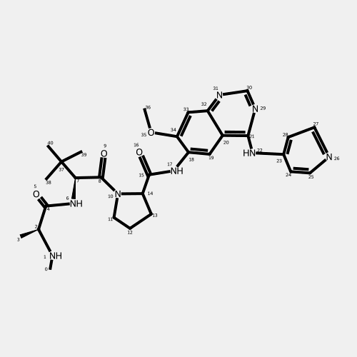 CN[C@@H](C)C(=O)N[C@H](C(=O)N1CCCC1C(=O)Nc1cc2c(Nc3ccncc3)ncnc2cc1OC)C(C)(C)C